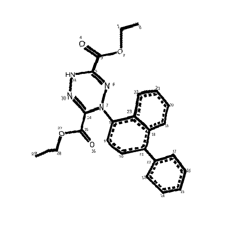 CCOC(=O)C1=NN(c2ccc(-c3ccccc3)c3ccccc23)C(C(=O)OCC)=NN1